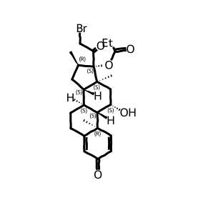 CCC(=O)O[C@@]1(C(=O)CBr)[C@H](C)C[C@H]2[C@@H]3CCC4=CC(=O)C=C[C@]4(C)[C@H]3[C@@H](O)C[C@@]21C